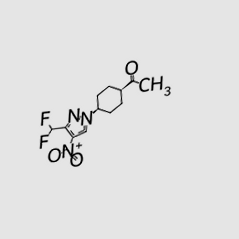 CC(=O)[C@H]1CC[C@@H](n2cc([N+](=O)[O-])c(C(F)F)n2)CC1